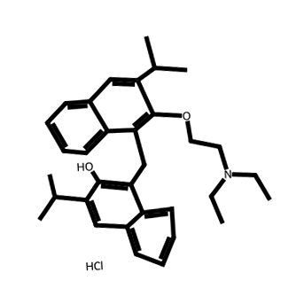 CCN(CC)CCOc1c(C(C)C)cc2ccccc2c1Cc1c(O)c(C(C)C)cc2ccccc12.Cl